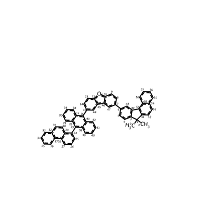 CC1(C)c2ccc(-c3ccc4oc5ccc(-c6c7ccccc7c(-c7cccc8c7ccc7ccccc78)c7ccccc67)cc5c4c3)cc2-c2c1ccc1ccccc21